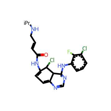 CC(C)NC/C=C/C(=O)NC1=CC=C2N=CN=C(Nc3cccc(Cl)c3F)C2C1Cl